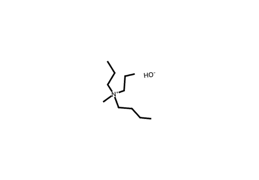 CCCC[N+](C)(CCC)CCC.[OH-]